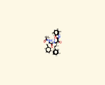 CC(=O)N[C@@H](CC1CCCCC1)C(=O)N[C@@H](CCc1ccccc1)C(=O)c1nc2ccccc2o1